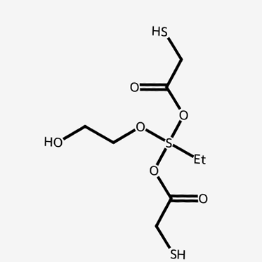 CCS(OCCO)(OC(=O)CS)OC(=O)CS